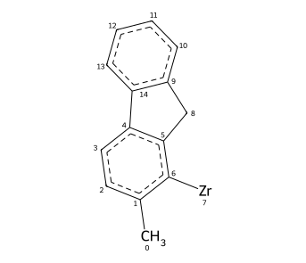 Cc1ccc2c([c]1[Zr])Cc1ccccc1-2